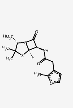 CC1(C)S[C@@H]2[C@H](NC(=O)Cc3ccoc3N)C(=O)N2[C@H]1C(=O)O